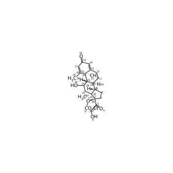 CCOC(=O)O[C@]1(C(=O)CO)CC[C@H]2[C@@H]3CCC4=CC(=O)C=C(C)[C@]4(C)[C@H]3C(O)C[C@@]21C